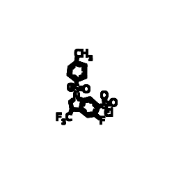 Cc1ccc(S(=O)(=O)N2CC(C(F)(F)F)c3cc(F)c(S(=O)(=O)Cl)cc32)cc1